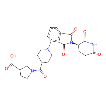 O=C1CC[C@@H](N2C(=O)c3cccc(N4CCC(C(=O)N5CCC(C(=O)O)C5)CC4)c3C2=O)C(=O)N1